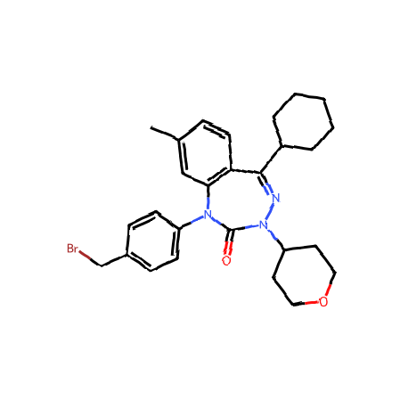 Cc1ccc2c(c1)N(c1ccc(CBr)cc1)C(=O)N(C1CCOCC1)N=C2C1CCCCC1